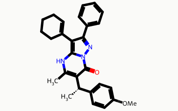 COc1ccc([C@H](C)c2c(C)[nH]c3c(C4=CCCCC4)c(-c4ccccc4)nn3c2=O)cc1